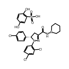 O=C(NN1CCCCC1)C1=NN(c2ccc(Cl)cc2Cl)[C@H](c2ccc(Cl)cc2)C1.O=S(=O)(O)c1cc(O)ccc1O